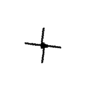 CCCCCCCCCCCCC[CH2][Sn]1([CH2]CCCCCCCCCCCCC)[S][Sn]([CH2]CCCCCCCCCCCCC)([CH2]CCCCCCCCCCCCC)[S]1